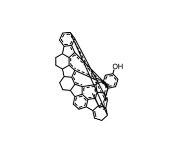 CC1N(c2ccc(O)cc2)CC23c4c5c6c7c8c9c%10c%11c%12c%13c%14c%15ccc%16c%14c(c-5c%13c%106)C12C%16=CCC3c1ccc(c7c14)C8CCC9C%11CCC%15%12